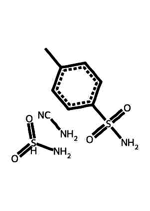 Cc1ccc(S(N)(=O)=O)cc1.N#CN.N[SH](=O)=O